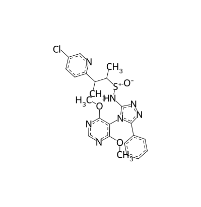 COc1ncnc(OC)c1-n1c(N[S+]([O-])C(C)C(C)c2ccc(Cl)cn2)nnc1-c1ccccc1